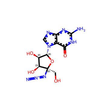 [N-]=[N+]=N[C@]1(CO)O[C@@H](n2cnc3nc(N)[nH]c(=O)c32)[C@H](O)[C@@H]1O